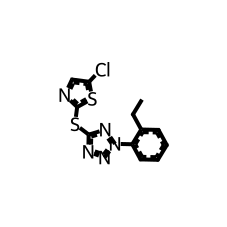 CCc1ccccc1-n1nnc(Sc2ncc(Cl)s2)n1